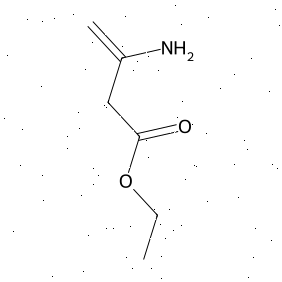 C=C(N)CC(=O)OCC